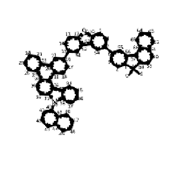 CC1(C)c2ccc(-c3ccc4sc5ccc(-c6ccc7c(c6)c6ccccc6c6ccc8c(c9ccccc9n8-c8cccc9ccccc89)c67)cc5c4c3)cc2-c2c1ccc1ccccc21